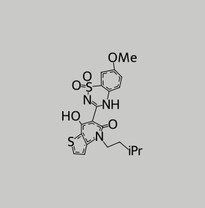 COc1ccc2c(c1)S(=O)(=O)N=C(c1c(O)c3sccc3n(CCC(C)C)c1=O)N2